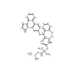 C[C@@H](O)CNC(C)(C)CC(=O)N[C@@H]1CCc2ccccc2N(Cc2ccc(-c3ccccc3-c3c[nH]cn3)cc2)C1=O